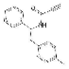 C#CC(=O)NC(Cc1ccc(C)cc1)c1ccccc1